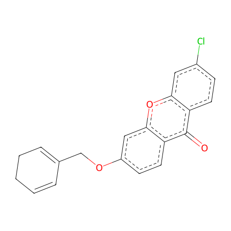 O=c1c2ccc(Cl)cc2oc2cc(OCC3=CCCC=C3)ccc12